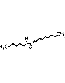 CCCCCCCC[N]C(=O)NCCCCCC